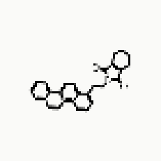 O=C1C2=C(CCCC2)C(=O)N1CCc1cccc2c1ccc1c3ccccc3ccc21